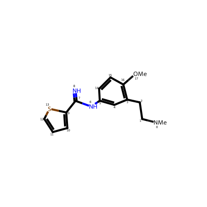 CNCCc1cc(NC(=N)c2cccs2)ccc1OC